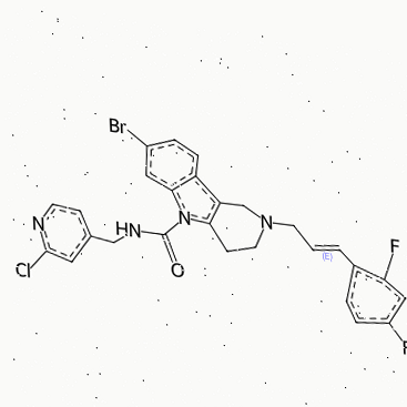 O=C(NCc1ccnc(Cl)c1)n1c2c(c3ccc(Br)cc31)CN(C/C=C/c1ccc(F)cc1F)CC2